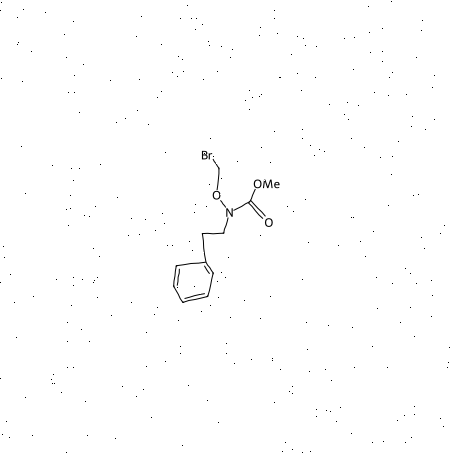 COC(=O)N(CCc1ccccc1)OCBr